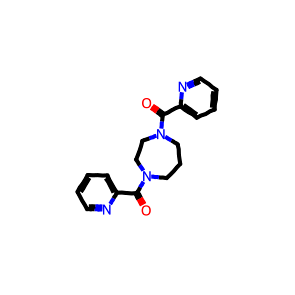 O=C(c1ccccn1)N1CCCN(C(=O)c2ccccn2)CC1